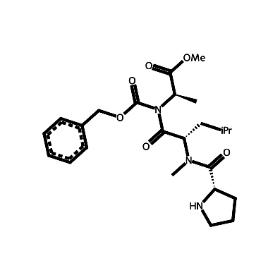 COC(=O)[C@@H](C)N(C(=O)OCc1ccccc1)C(=O)[C@H](CC(C)C)N(C)C(=O)[C@@H]1CCCN1